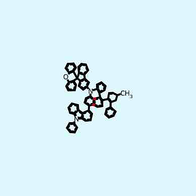 CC1C=CC(c2ccccc2-c2ccccc2N(c2ccc(-c3cccc4c3c3ccccc3n4-c3ccccc3)cc2)c2ccc3c(c2)-c2ccccc2C32c3ccccc3Oc3ccccc32)=C(c2ccccc2)C1